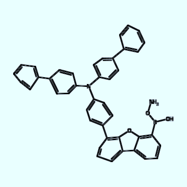 NOB(O)c1cccc2c1oc1c(-c3ccc(N(c4ccc(-c5ccccc5)cc4)c4ccc(-c5ccccc5)cc4)cc3)cccc12